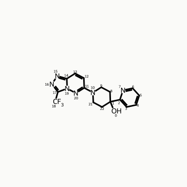 OC1(c2ccccn2)CCN(c2ccc3nnc(C(F)(F)F)n3n2)CC1